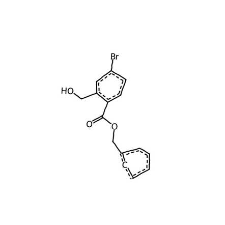 O=C(OCc1ccccc1)c1ccc(Br)cc1CO